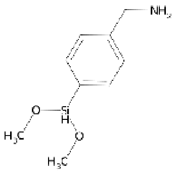 CO[SiH](OC)c1ccc(CN)cc1